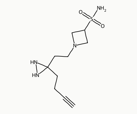 C#CCCC1(CCN2CC(S(N)(=O)=O)C2)NN1